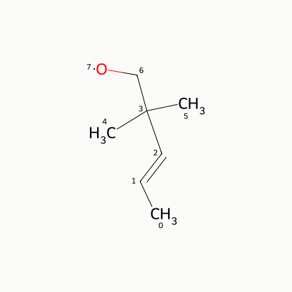 C/C=C/C(C)(C)C[O]